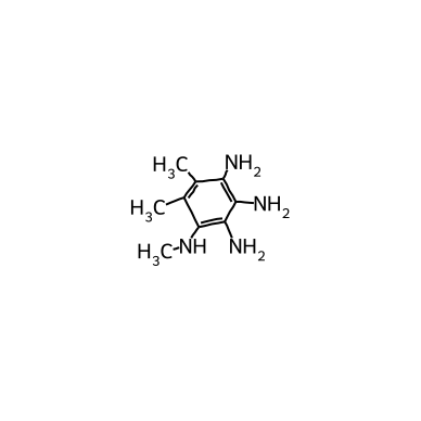 CNc1c(C)c(C)c(N)c(N)c1N